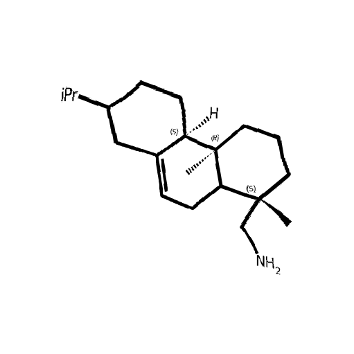 CC(C)C1CC[C@@H]2C(=CCC3[C@@](C)(CN)CCC[C@@]32C)C1